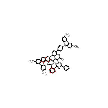 Cc1ccc2c(c1)c1cc(C)ccc1n2-c1ccc(-c2ccc(-c3ccc(-n4c5ccc(C)cc5c5cc(C)ccc54)cc3)c3c(-c4nc(-c5ccccc5)nc(-c5ccccc5)n4)c(-c4nc(-c5ccccc5)nc(-c5ccccc5)n4)c(=O)oc23)cc1